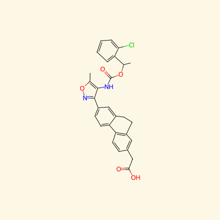 Cc1onc(-c2ccc3c(c2)CCc2cc(CC(=O)O)ccc2-3)c1NC(=O)OC(C)c1ccccc1Cl